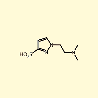 CN(C)CCn1ccc(S(=O)(=O)O)n1